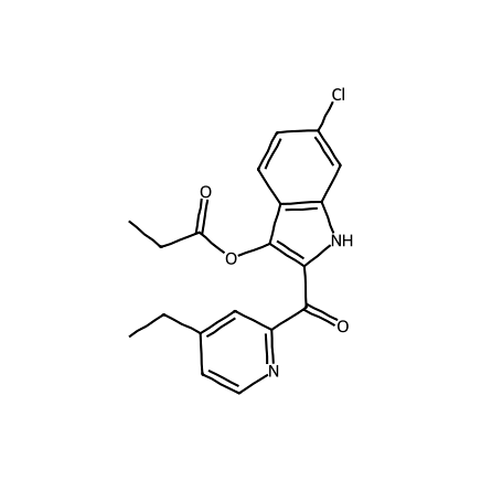 CCC(=O)Oc1c(C(=O)c2cc(CC)ccn2)[nH]c2cc(Cl)ccc12